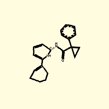 O=C(N[C@H]1C=CC=C(C2=CCCCC2)N1)C1(c2ccccc2)CC1